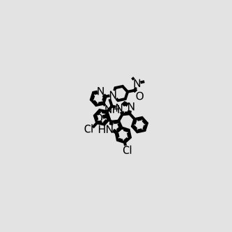 CC(c1ccc(Cl)cc1)n1cnc(-c2ccccc2)c1-c1c(C(=O)Nc2cccnc2N2CCC(C(=O)N(C)C)CC2)[nH]c2cc(Cl)ccc12